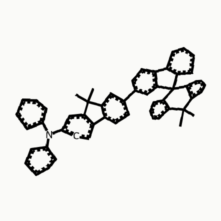 CC1(C)c2cc(-c3ccc4c(c3)C3(c5ccccc5-4)c4ccccc4C(C)(C)c4ccccc43)ccc2-c2ccc(N(c3ccccc3)c3ccccc3)cc21